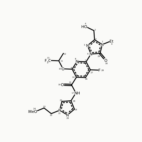 CCn1c(CO)nn(-c2nc(OC(C)C(F)(F)F)c(C(=O)Nc3cnn(CCOC)c3)cc2F)c1=O